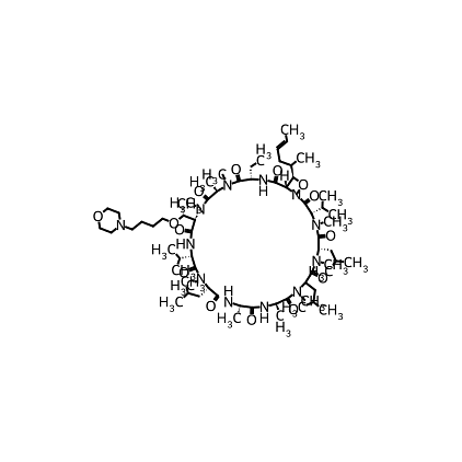 C/C=C/CC(C)[C@H]1ON2C(=O)[C@H](C(C)C)N(C)C(=O)[C@H](CC(C)C)N(C)C(=O)C(CC(C)C)N(C)C(=O)[C@@H](C)NC(=O)[C@H](C)NC(=O)[C@H](CC(C)C)N(C)C(=O)[C@H](C(C)C)NC(=O)[C@H]([C@@H](C)OCCCCN3CCOCC3)N(C)C(=O)[C@@H](C)N(C)C(=O)[C@H](CC)NC(=O)[C@H]12